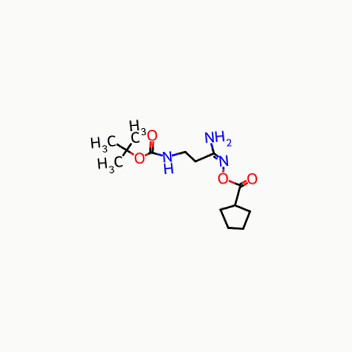 CC(C)(C)OC(=O)NCC/C(N)=N\OC(=O)C1CCCC1